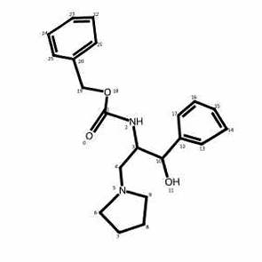 O=C(NC(CN1CCCC1)C(O)c1ccccc1)OCc1ccccc1